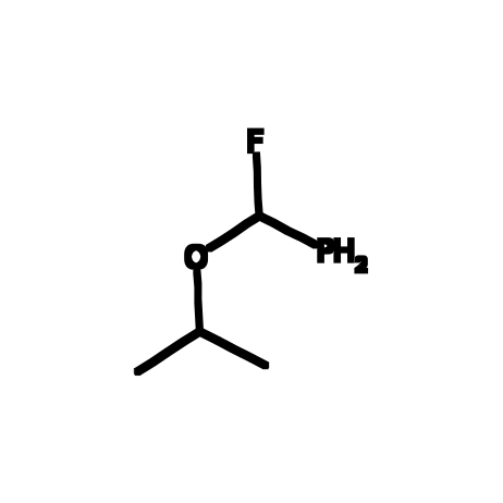 CC(C)OC(F)P